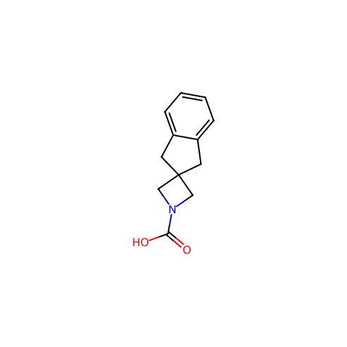 O=C(O)N1CC2(Cc3ccccc3C2)C1